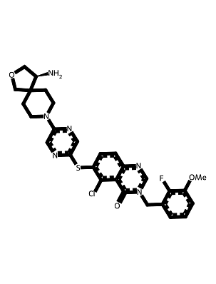 COc1cccc(Cn2cnc3ccc(Sc4cnc(N5CCC6(CC5)COC[C@H]6N)cn4)c(Cl)c3c2=O)c1F